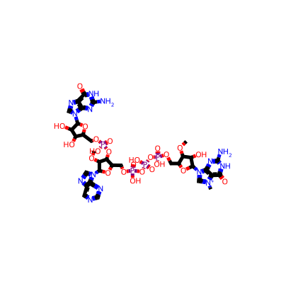 COC1C(COP(=O)(O)OP(=O)(O)OP(=O)(O)OCC2OC(n3cnc4cncnc43)C(OC)C2OP(=O)(O)OCC2OC(n3cnc4c(=O)[nH]c(N)nc43)C(O)C2O)OC(n2c[n+](C)c3c(=O)[nH]c(N)nc32)C1O